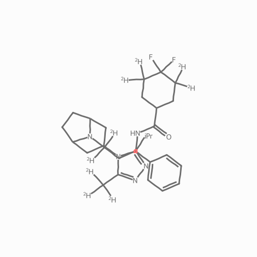 [2H]C([2H])([2H])c1nnc(C(C)C)n1C1CC2CCC(C1)N2C([2H])([2H])CC(NC(=O)C1CC([2H])([2H])C(F)(F)C([2H])([2H])C1)c1ccccc1